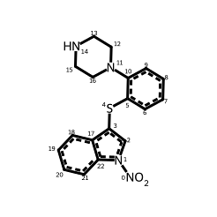 O=[N+]([O-])n1cc(Sc2ccccc2N2CCNCC2)c2ccccc21